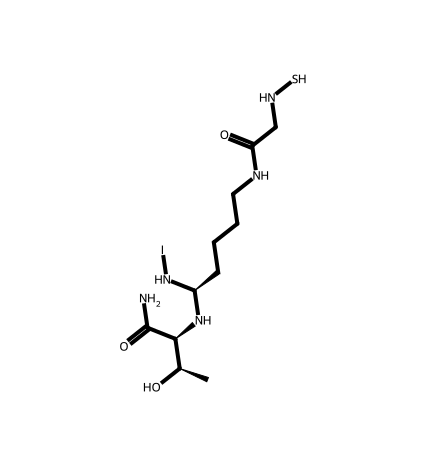 C[C@@H](O)[C@H](N[C@H](CCCCNC(=O)CNS)NI)C(N)=O